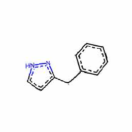 [CH](c1ccccc1)c1cc[nH]n1